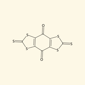 O=C1c2sc(=S)sc2C(=O)c2sc(=S)sc21